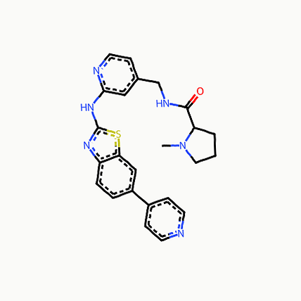 CN1CCCC1C(=O)NCc1ccnc(Nc2nc3ccc(-c4ccncc4)cc3s2)c1